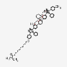 C=C(C)C(=O)CCCCCCCCCCOc1ccc(-c2nnc(-c3ccc(-c4ccc5c(c4)C4(c6cc(-c7nnc(-c8ccc(C)cc8)n7-c7ccccc7)ccc6-5)C5(CCC)CCCC4(CCC)CCC5)cc3)n2-c2ccccc2)cc1